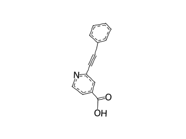 O=C(O)c1ccnc(C#Cc2ccccc2)c1